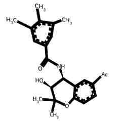 CC(=O)c1ccc2c(c1)[C@H](NC(=O)c1cc(C)c(C)c(C)c1)[C@H](O)C(C)(C)O2